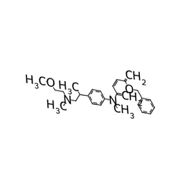 C=C(/C=C\C(=C)N(C)c1ccc(C(C)CN(C)CCOC)cc1)OCc1ccccc1